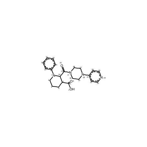 O=C(O)C1CCCN(c2ccccc2)C1C(=O)N1CCN(c2ccncc2)CC1